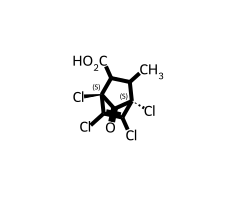 CC1C(C(=O)O)[C@]2(Cl)C(=O)[C@]1(Cl)C(Cl)=C2Cl